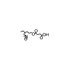 CCC(CCCOC(=O)CCC(=O)O)SN=O